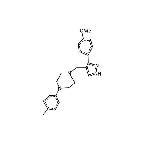 COc1ccc(-c2n[nH]cc2CN2CCN(c3ccc(C)cc3)CC2)cc1